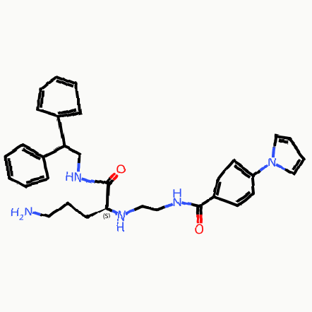 NCCC[C@H](NCCNC(=O)c1ccc(-n2cccc2)cc1)C(=O)NCC(c1ccccc1)c1ccccc1